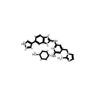 Cc1nccn1Cc1cc(Nc2nc3ccc(-c4cn[nH]c4)cc3s2)nc(N[C@H]2CC[C@H](O)CC2)c1